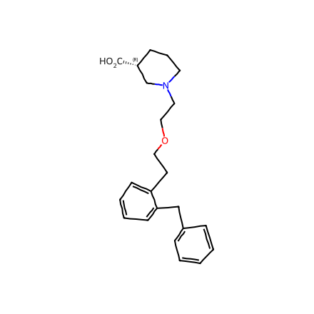 O=C(O)[C@@H]1CCCN(CCOCCc2ccccc2Cc2ccccc2)C1